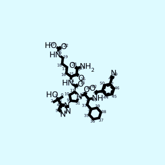 CC(C)(O)c1cnnn1[C@H]1C[C@@H](C(=O)NC(CCCCNC(=O)O)C(=O)C(N)=O)N(C(=O)C(CC2CCCCC2)NC(=O)c2cccc(C#N)c2)C1